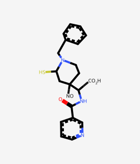 O=NC1(C(NC(=O)c2cccnc2)C(=O)O)CCN(Cc2ccccc2)C(S)C1